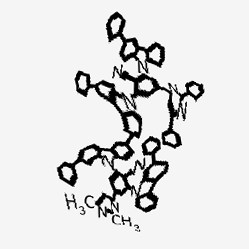 Cc1cc(-c2cc(-n3c4ccccc4c4ccc(-c5ccccc5)cc43)c(C#N)c(-n3c4ccc(-c5ccc6c(c5)c5cc(-c7ccccc7)ccc5n6-c5cc(-c6cc(-c7ccccc7)nc(-c7ccccc7)n6)cc(-n6c7ccccc7c7cc(-c8ccccc8)ccc76)c5C#N)cc4c4ccc(-c5ccccc5)cc43)c2)nc(C)n1